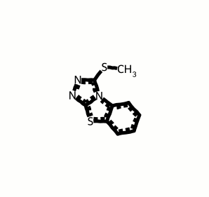 CSc1nnc2sc3ccccc3n12